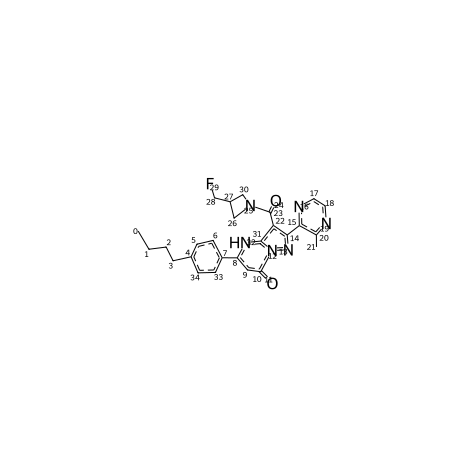 CCCCc1ccc(-c2cc(=O)n3nc(-c4nccnc4C)c(C(=O)N4CC(CF)C4)c3[nH]2)cc1